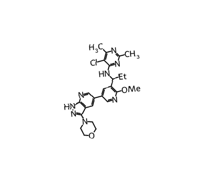 CCC(Nc1nc(C)nc(C)c1Cl)c1cc(-c2cnc3[nH]nc(N4CCOCC4)c3c2)cnc1OC